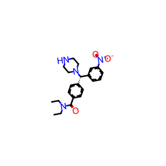 CCN(CC)C(=O)c1ccc([C@@H](c2cccc([N+](=O)[O-])c2)N2CCNCC2)cc1